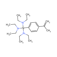 C=C(C)c1ccc([Si](N(CC)CC)(N(CC)CC)N(CC)CC)cc1